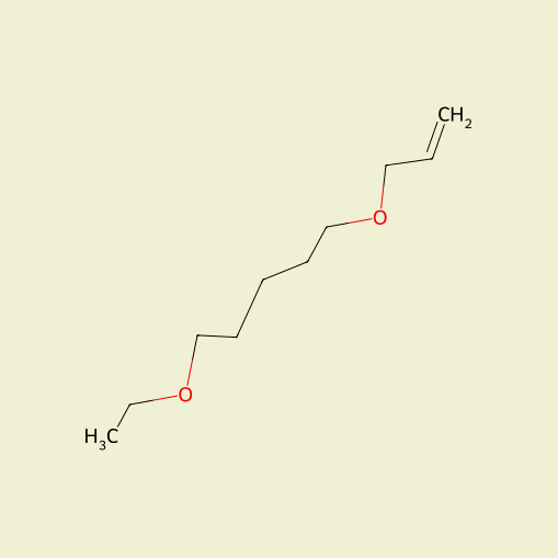 C=CCOCCCCCOCC